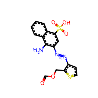 Nc1c(/N=N/c2ccsc2COC=O)cc(S(=O)(=O)O)c2ccccc12